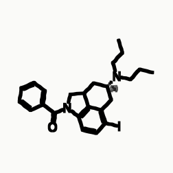 CCCN(CCC)[C@@H]1Cc2c(I)ccc3c2C(C1)CN3C(=O)c1ccccc1